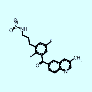 Cc1cnc2ccc(C(=O)c3cc(F)cc(CCCN[SH](=O)=O)c3F)cc2c1